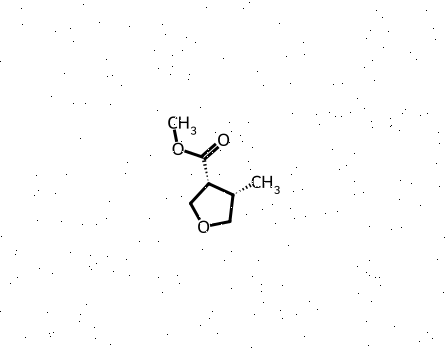 COC(=O)[C@H]1COC[C@H]1C